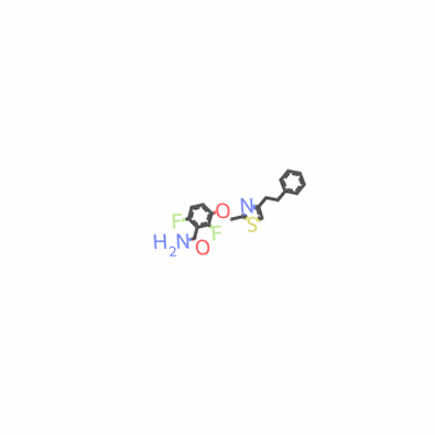 NC(=O)c1c(F)ccc(OCc2nc(CCc3ccccc3)cs2)c1F